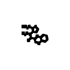 CN(C(=O)c1cnc2ccccc2n1)c1ccsc1C(=O)O